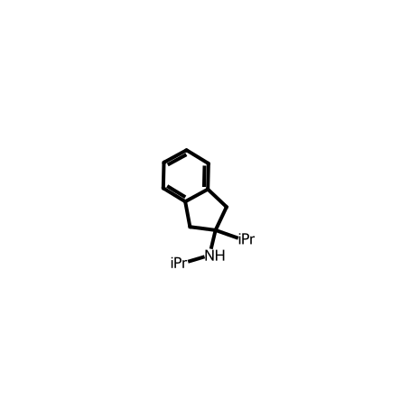 CC(C)NC1(C(C)C)Cc2ccccc2C1